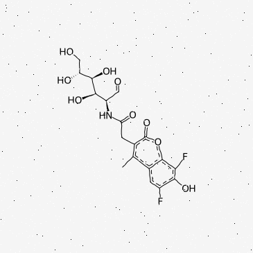 Cc1c(CC(=O)N[C@H](C=O)[C@@H](O)[C@H](O)[C@H](O)CO)c(=O)oc2c(F)c(O)c(F)cc12